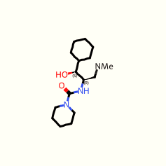 CNC[C@@H](NC(=O)N1CCCCC1)[C@@H](O)C1CCCCC1